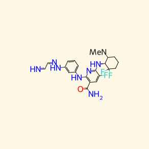 CNC1CCCC(F)(F)[C@H]1Nc1nc(Nc2cccc(N/N=C\C=N)c2)c(C(N)=O)cc1F